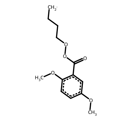 [CH2]CCCOOC(=O)c1cc(OC)ccc1OC